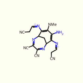 CNC1=C(/N=C\CC#N)C2CC(N=C(C#N)C(C#N)=N2)C(/N=C\CC#N)=C1N